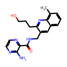 Cc1cccc2cc(CNC(=O)c3nccnc3N)c(CCCO)nc12